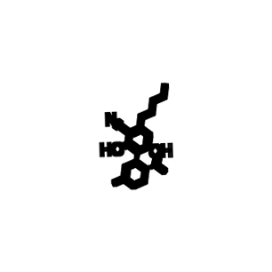 C=C(C)[C@@H]1CCC(C)=C[C@H]1c1c(O)cc(CCCCC)c(C#N)c1O